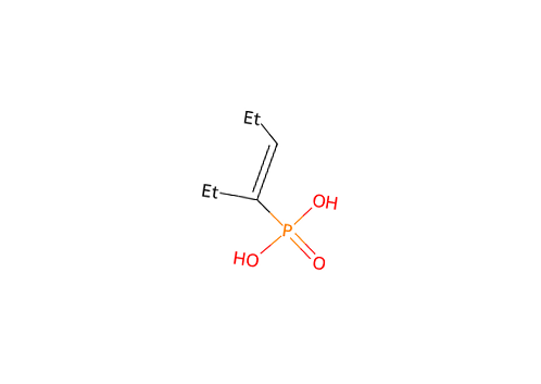 CC/C=C(\CC)P(=O)(O)O